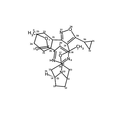 COC(=O)c1cc(C)nc(N2C3CC[C@H]2CC(OCc2c(C4CCCCC4)noc2C2CC2)C3)n1